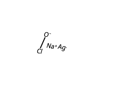 [Ag].[Na+].[O-]Cl